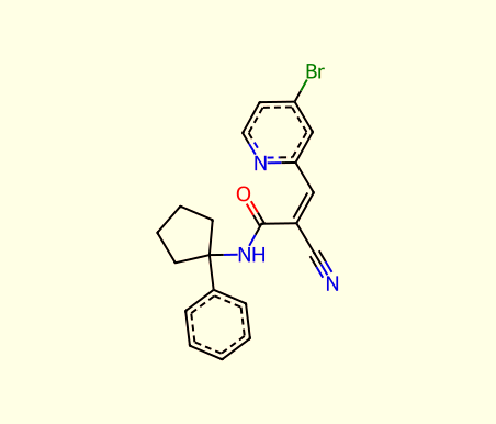 N#CC(=Cc1cc(Br)ccn1)C(=O)NC1(c2ccccc2)CCCC1